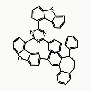 c1ccc(-c2nc(-c3cccc4oc5ccc(-c6ccc7c(c6)-c6ccccc6CCC7c6ccccc6)cc5c34)nc(-c3cccc4sc5ccccc5c34)n2)cc1